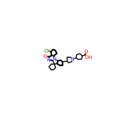 O=C(O)C1CCC(N2CCC(c3ccc4c(c3)-n3c(nc(=O)c5c(Cl)cccc53)C43CCCCC3)CC2)CC1